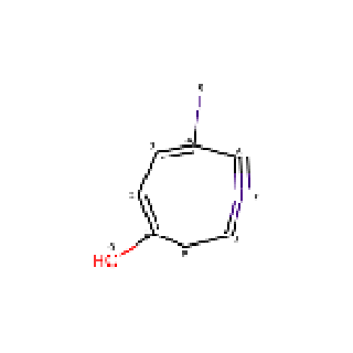 O/C1=C/C=C(/I)C#I=CC1